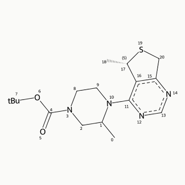 CC1CN(C(=O)OC(C)(C)C)CCN1c1ncnc2c1[C@H](C)SC2